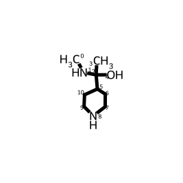 CNC(C)(O)C1CCNCC1